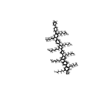 CCCCCCc1cc(-c2ccc(-c3cc(CCCCCC)c(-c4ccc(-c5cc(CCCCCC)c(-c6ccc(-c7cc(CCCCCC)c(-c8ccc(-c9ccccc9)cc8)cc7CCCCCC)cc6)cc5CCCCCC)cc4)cc3CCCCCC)cc2)c(CCCCCC)cc1Br